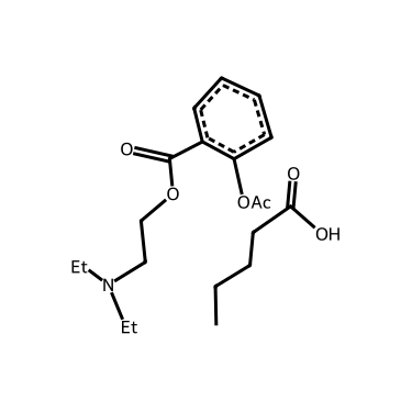 CCCCC(=O)O.CCN(CC)CCOC(=O)c1ccccc1OC(C)=O